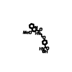 COc1cc(C(=O)NCCOc2ccc(C(=O)NO)cc2)nc2ccccc12